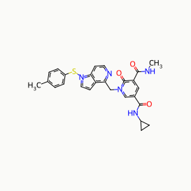 CNC(=O)c1cc(C(=O)NC2CC2)cn(Cc2nccc3c2ccn3Sc2ccc(C)cc2)c1=O